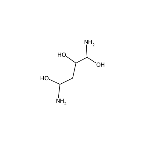 NC(O)CC(O)C(N)O